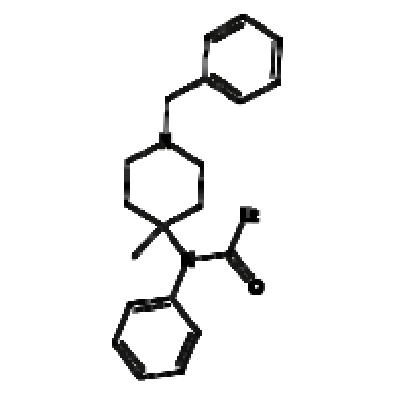 CCC(=O)N(c1ccccc1)C1(C)CCN(Cc2ccccc2)CC1